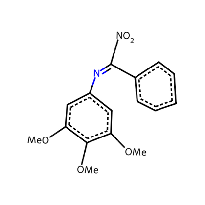 COc1cc(N=C(c2ccccc2)[N+](=O)[O-])cc(OC)c1OC